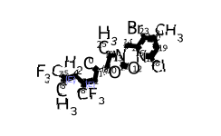 C=C(/C=C(\C=C(/C)C(F)(F)F)C(F)(F)F)[C@H]1OC(=O)N(Cc2nc(Cl)cc(C)c2Br)[C@H]1C